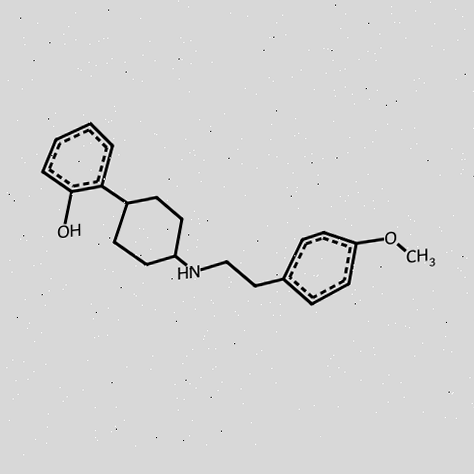 COc1ccc(CCNC2CCC(c3ccccc3O)CC2)cc1